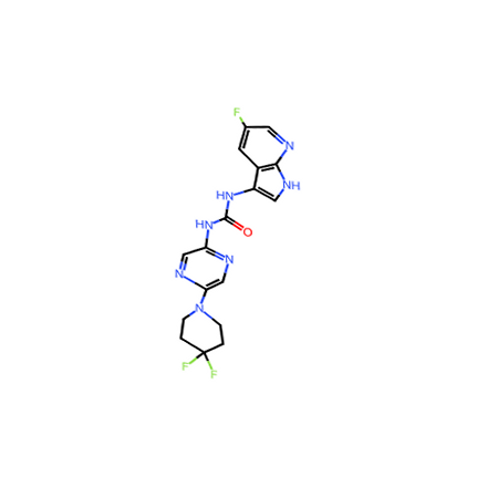 O=C(Nc1cnc(N2CCC(F)(F)CC2)cn1)Nc1c[nH]c2ncc(F)cc12